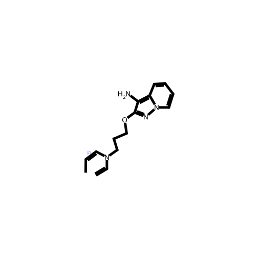 C=CN(/C=C\C)CCCOc1nn2ccccc2c1N